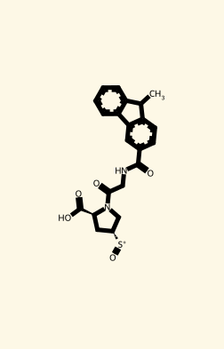 CC1c2ccccc2-c2cc(C(=O)NCC(=O)N3C[C@H]([S+]=O)C[C@H]3C(=O)O)ccc21